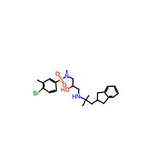 Cc1cc(S(=O)(=O)N(C)CC(O)CNC(C)(C)CC2Cc3ccccc3C2)ccc1Br